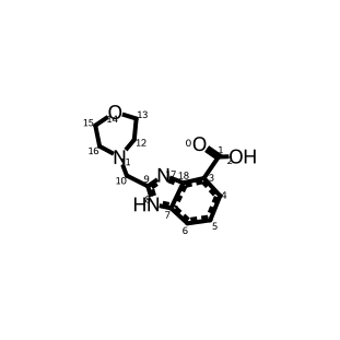 O=C(O)c1cccc2[nH]c(CN3CCOCC3)nc12